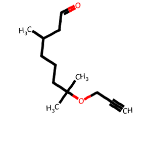 C#CCOC(C)(C)CCCC(C)CC=O